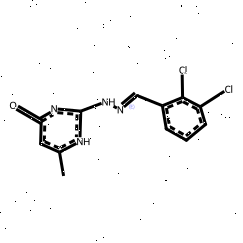 Cc1cc(=O)nc(N/N=C/c2cccc(Cl)c2Cl)[nH]1